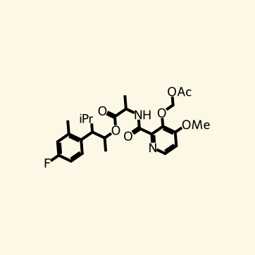 COc1ccnc(C(=O)NC(C)C(=O)OC(C)C(c2ccc(F)cc2C)C(C)C)c1OCOC(C)=O